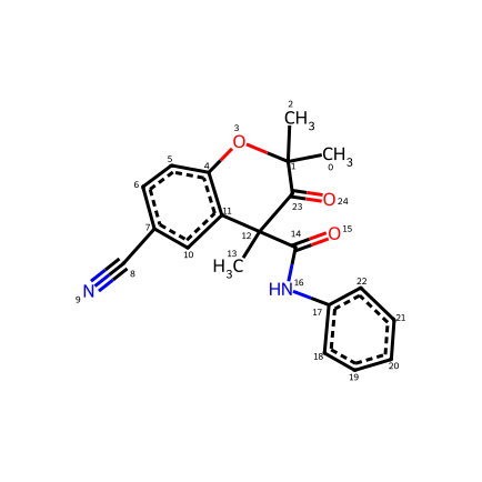 CC1(C)Oc2ccc(C#N)cc2C(C)(C(=O)Nc2ccccc2)C1=O